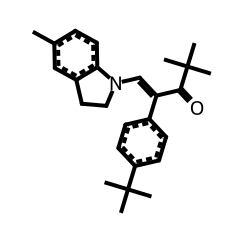 Cc1ccc2c(c1)CCN2/C=C(/C(=O)C(C)(C)C)c1ccc(C(C)(C)C)cc1